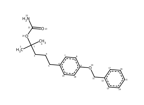 CC(C)(CCCc1ccc(OCc2ccccc2)cc1)OC(N)=O